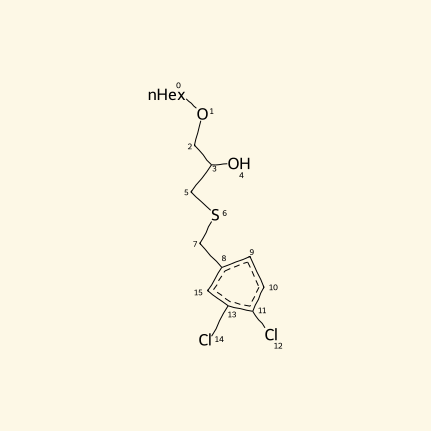 CCCCCCOCC(O)CSCc1ccc(Cl)c(Cl)c1